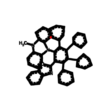 CN1c2ccccc2N(c2c(-c3ccccc3)c(-c3ccccc3)c(-c3ccccc3)c(-c3ccccc3)c2-c2nc3ccccc3o2)c2ccccc21